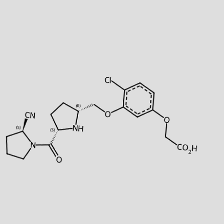 N#C[C@@H]1CCCN1C(=O)[C@@H]1CC[C@H](COc2cc(OCC(=O)O)ccc2Cl)N1